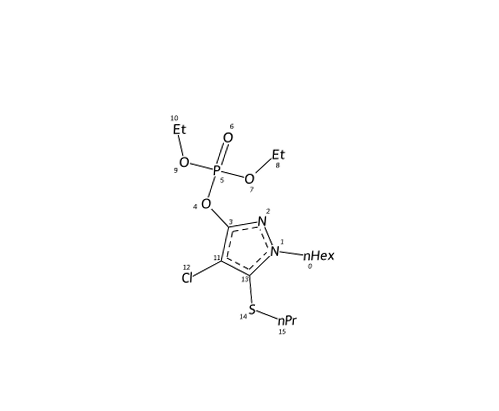 CCCCCCn1nc(OP(=O)(OCC)OCC)c(Cl)c1SCCC